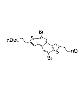 CCCCCCCCCCCCc1cc2c(s1)c(Br)cc1c3cc(CCCCCCCCCCCC)sc3c(Br)cc21